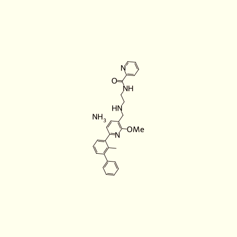 COc1nc(-c2cccc(-c3ccccc3)c2C)ccc1CNCCNC(=O)c1ccccn1.N